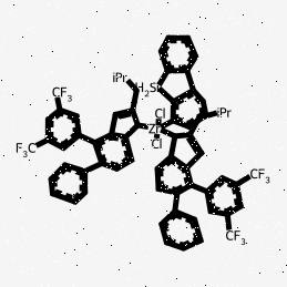 CC(C)CC1=Cc2c(ccc(-c3ccccc3)c2-c2cc(C(F)(F)F)cc(C(F)(F)F)c2)[CH]1[Zr]([Cl])([Cl])([c]1cccc2c1[SiH2]c1ccccc1-2)[CH]1C(CC(C)C)=Cc2c1ccc(-c1ccccc1)c2-c1cc(C(F)(F)F)cc(C(F)(F)F)c1